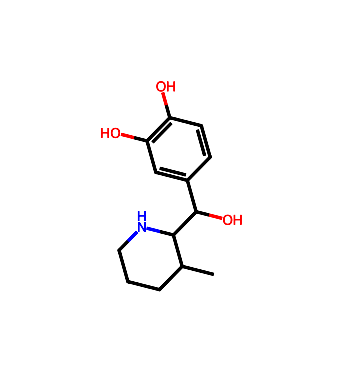 CC1CCCNC1C(O)c1ccc(O)c(O)c1